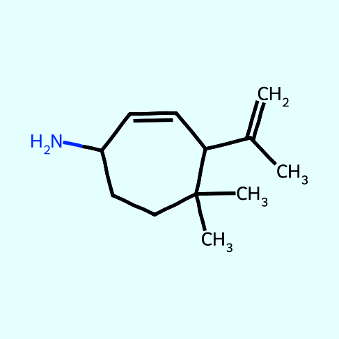 C=C(C)C1C=CC(N)CCC1(C)C